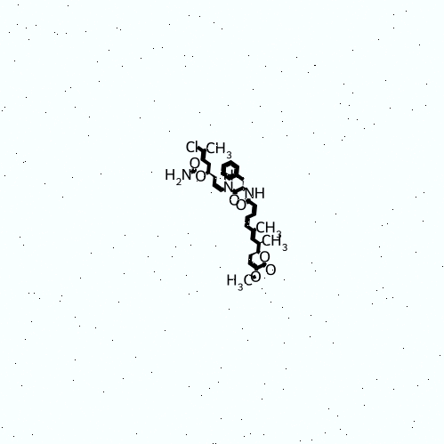 COC1=CC[C@@H]([C@@H](C)/C=C(C)/C=C\C=C/C(=O)N[C@@H](Cc2ccccc2)C(=O)N/C=C\C[C@H](C/C=C(\C)Cl)OC(N)=O)OC1=O